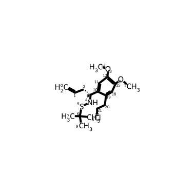 C=CC[C@@H](NSC(C)(C)C)c1cc(OC)c(OC)cc1CCCl